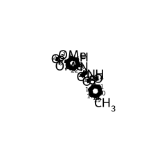 COP(=O)(OC)c1ccc(NC(=O)NS(=O)(=O)c2ccc(C)cc2)cc1